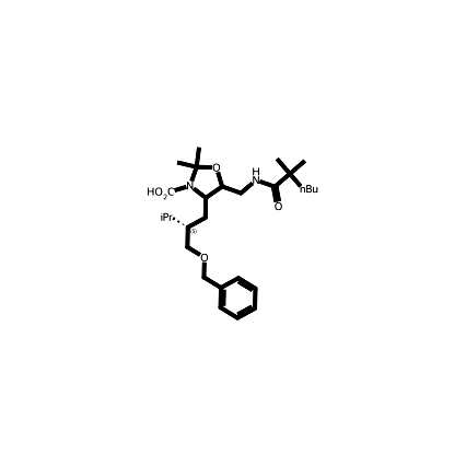 CCCCC(C)(C)C(=O)NCC1OC(C)(C)N(C(=O)O)C1C[C@H](COCc1ccccc1)C(C)C